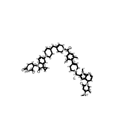 CNc1cc(=O)n(-c2ccnc3c2cc([C@H](C)N2CC=C(c4c(C)cc(C(=O)N5CC=C(CC6CCN(c7ccc8c(c7)C7(CC7)C(=O)N8C7CCC(=O)NC7=O)CC6)CC5)cc4F)CC2)n3C)cc1F